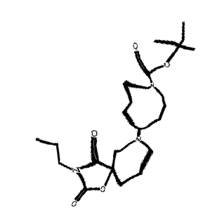 CCCN1C(=O)OC2(CCCN(C3CCN(C(=O)OC(C)(C)C)CC3)C2)C1=O